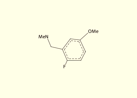 CNCc1cc(OC)ccc1F